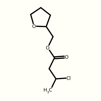 CC(Cl)CC(=O)OCC1CCCO1